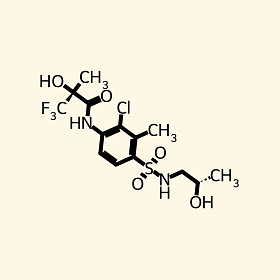 Cc1c(S(=O)(=O)NC[C@H](C)O)ccc(NC(=O)[C@@](C)(O)C(F)(F)F)c1Cl